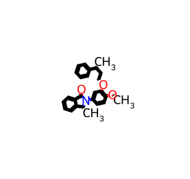 COc1ccc(N2C(=O)c3ccccc3C2C)cc1OCCC(C)c1ccccc1